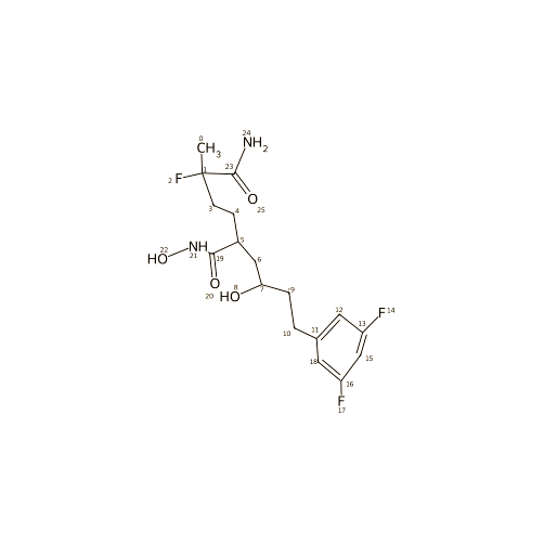 CC(F)(CCC(CC(O)[CH]Cc1cc(F)cc(F)c1)C(=O)NO)C(N)=O